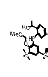 COCOc1c(Pc2ccccc2C(C)O)cc([Si](C)(C)C)cc1[Si](C)(C)C